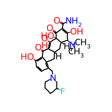 CN(C)[C@@H]1C(O)=C(C(N)=O)C(=O)[C@@]2(O)C(O)=C3C(=O)c4c(O)ccc(CN5CCCC(F)C5)c4C[C@H]3C[C@@H]12